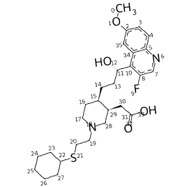 COc1ccc2ncc(F)c([C@@H](O)CC[C@@H]3CCN(CCSC4CCCCC4)C[C@@H]3CC(=O)O)c2c1